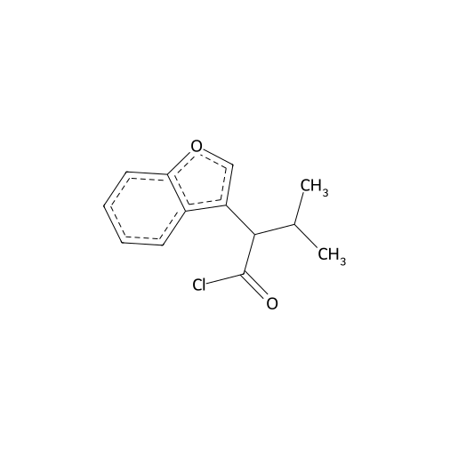 CC(C)C(C(=O)Cl)c1coc2ccccc12